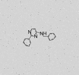 c1ccc(CNc2ccnc(-c3ccccc3)n2)cc1